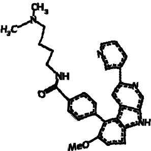 COc1ccc2[nH]c3cnc(-c4cccnc4)cc3c2c1-c1ccc(C(=O)NCCCCN(C)C)cc1